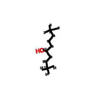 CC(C)(C)CCCC(O)CCC(C)(C)C